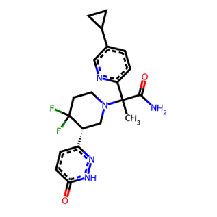 CC(C(N)=O)(c1ccc(C2CC2)cn1)N1CCC(F)(F)[C@@H](c2ccc(=O)[nH]n2)C1